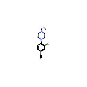 C#Cc1ccc(N2CCN(C)CC2)c(Cl)c1